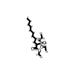 CCCCCCCCCC(C(=O)OCC)P(=O)(OCC)OCC